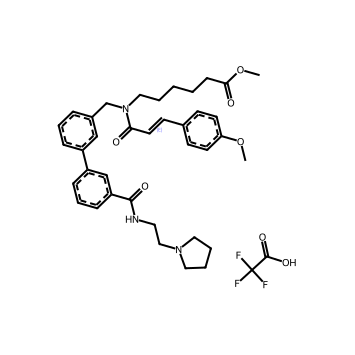 COC(=O)CCCCCN(Cc1cccc(-c2cccc(C(=O)NCCN3CCCC3)c2)c1)C(=O)/C=C/c1ccc(OC)cc1.O=C(O)C(F)(F)F